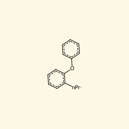 CC[CH]c1ccccc1Oc1ccccc1